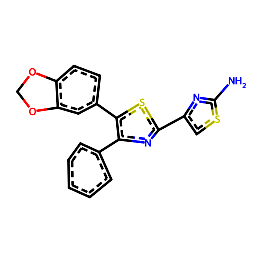 Nc1nc(-c2nc(-c3ccccc3)c(-c3ccc4c(c3)OCO4)s2)cs1